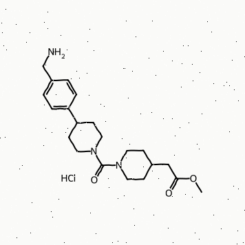 COC(=O)CC1CCN(C(=O)N2CCC(c3ccc(CN)cc3)CC2)CC1.Cl